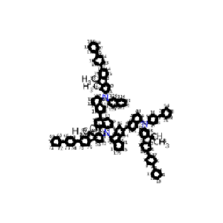 CC1(C)c2cc(-c3ccc(-c4ccccc4)cc3)ccc2-c2ccc(N(c3ccc(-c4ccccc4)cc3)c3cccc4cc(-c5ccc6c(N(c7ccc8c(c7)C(C)(C)c7cc(-c9ccc(-c%10ccccc%10)cc9)ccc7-8)c7cccc8c(-c9ccc%10c(N(c%11ccc%12c(c%11)C(C)(C)c%11cc(-c%13ccc(-c%14ccccc%14)cc%13)ccc%11-%12)c%11ccc%12ccccc%12c%11)cccc%10c9)cccc78)cc7ccccc7c6c5)ccc34)cc21